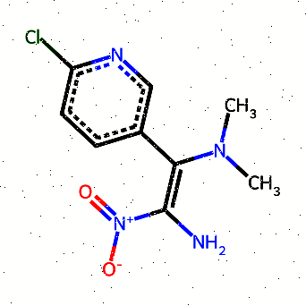 CN(C)C(=C(N)[N+](=O)[O-])c1ccc(Cl)nc1